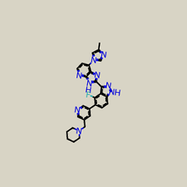 Cc1cn(-c2ccnc3[nH]c(-c4n[nH]c5ccc(-c6cncc(CN7CCCCC7)c6)c(F)c45)nc23)cn1